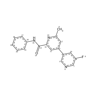 Cc1cc(-c2cncc(F)c2)cc(C(=O)Nc2ccccc2)n1